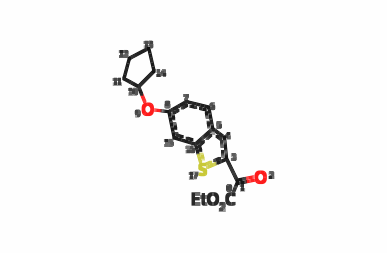 CCOC(=O)C(=O)c1cc2ccc(OC3CCCC3)cc2s1